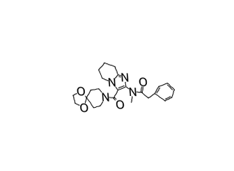 CN(C(=O)Cc1ccccc1)c1nc2n(c1C(=O)N1CCC3(CC1)OCCO3)CCCC2